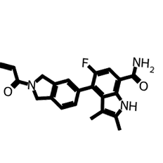 C=CC(=O)N1Cc2ccc(-c3c(F)cc(C(N)=O)c4[nH]c(C)c(C)c34)cc2C1